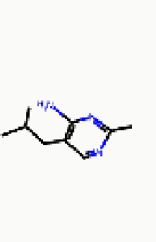 Cc1ncc(CC(C)C)c(N)n1